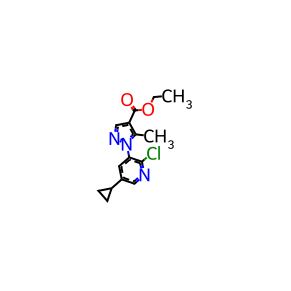 CCOC(=O)c1cnn(-c2cc(C3CC3)cnc2Cl)c1C